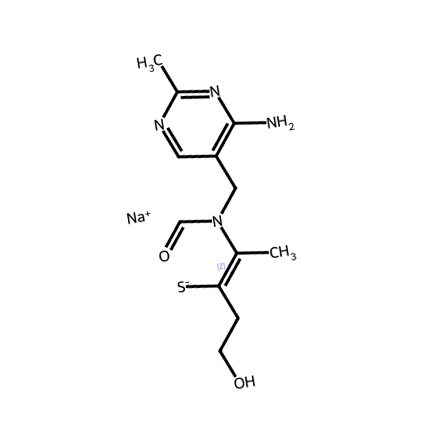 C/C(=C(/[S-])CCO)N(C=O)Cc1cnc(C)nc1N.[Na+]